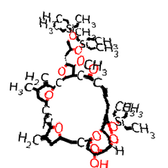 C=C1C(C)CC2CC[C@@H]3OC(CC[C@]45CC(O)C(O4)[C@H]4CC(O5)C(O[Si](CC)(CC)CC)C(C/C=C/CC(=O)CC5C(CC1O2)O[C@H](CC(CO[Si](CC)(CC)CC)O[Si](CC)(CC)CC)[C@@H]5OC)O4)CC3=C